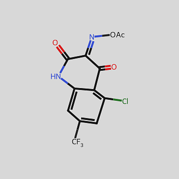 CC(=O)ON=C1C(=O)Nc2cc(C(F)(F)F)cc(Cl)c2C1=O